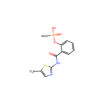 COP(=O)(O)Oc1ccccc1C(=O)Nc1ncc([N+](=O)[O-])s1